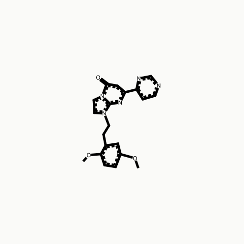 COc1ccc(OC)c(CCn2ccn3c(=O)cc(-c4ccncn4)nc23)c1